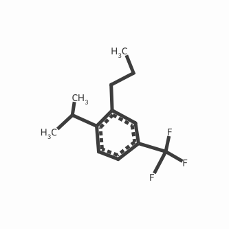 CCCc1cc(C(F)(F)F)ccc1C(C)C